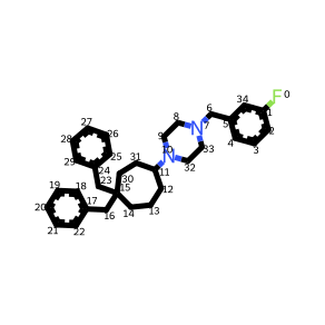 Fc1cccc(CN2CCN(C3CCCC(Cc4ccccc4)(Cc4ccccc4)CC3)CC2)c1